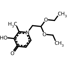 CCOC(Cn1ccc(=O)c(O)c1C)OCC